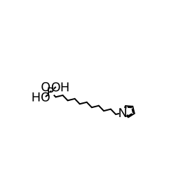 O=P(O)(O)CCCCCCCCCCCn1cccc1